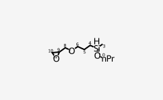 CCCO[SiH](C)CCCOCC1CO1